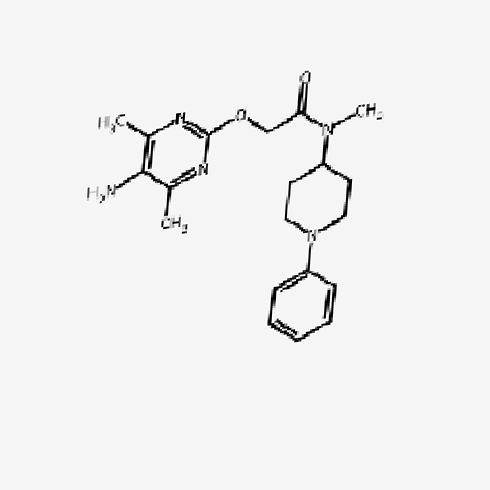 Cc1nc(OCC(=O)N(C)C2CCN(c3ccccc3)CC2)nc(C)c1N